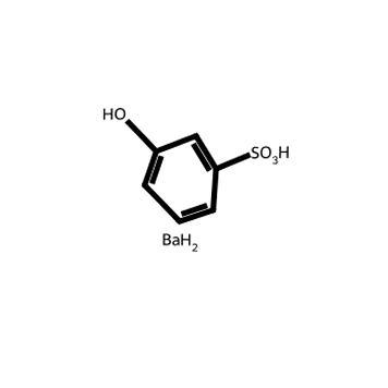 O=S(=O)(O)c1cccc(O)c1.[BaH2]